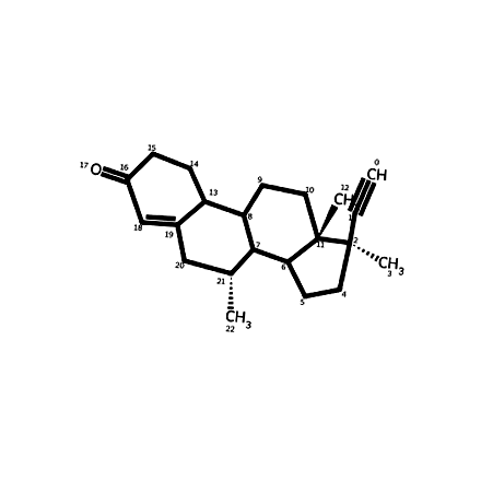 C#C[C@@]1(C)CCC2C3C(CC[C@@]21C)C1CCC(=O)C=C1C[C@H]3C